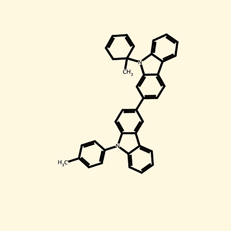 Cc1ccc(-n2c3ccccc3c3cc(-c4ccc5c6ccccc6n(C6(C)C=CC=CC6)c5c4)ccc32)cc1